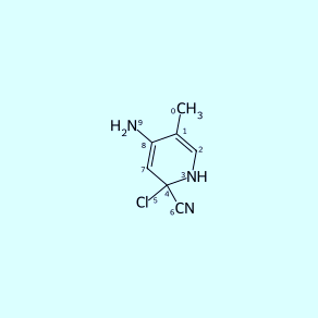 CC1=CNC(Cl)(C#N)C=C1N